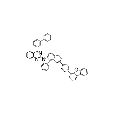 c1ccc(-c2cccc(-c3nc(-n4c5ccccc5c5c6cc(-c7ccc(-c8cccc9c8oc8ccccc89)cc7)ccc6ccc54)nc4ccccc34)c2)cc1